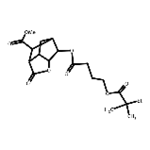 CCC(C)(C)C(=O)OCCCC(=O)OC1C2CC3C1OC(=O)C3C2C(=O)OC